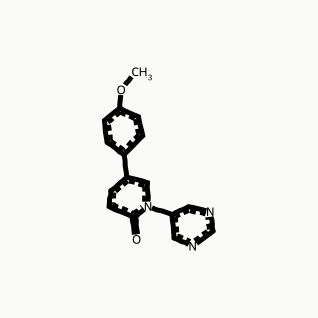 COc1ccc(-c2ccc(=O)n(-c3cncnc3)c2)cc1